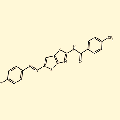 O=C(Nc1nc2sc(N=Nc3ccc(C(F)(F)F)cc3)cc2s1)c1ccc(C(F)(F)F)cc1